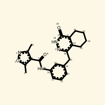 Cc1noc(C)c1C(=O)Nc1cccc(Cc2n[nH]c(=O)c3c2CCCC3)c1